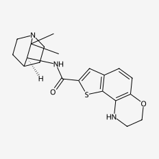 CC1(C)[C@@H](NC(=O)c2cc3ccc4c(c3s2)NCCO4)C2CCN1CC2